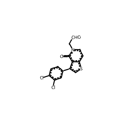 O=CCn1ccc2scc(-c3ccc(Cl)c(Cl)c3)c2c1=O